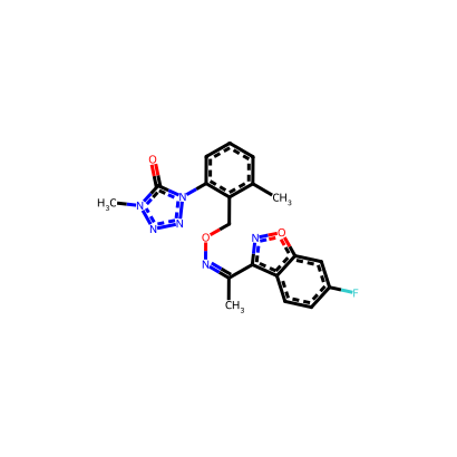 C/C(=N/OCc1c(C)cccc1-n1nnn(C)c1=O)c1noc2cc(F)ccc12